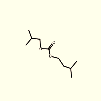 CC(C)CCOC(=O)OCC(C)C